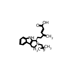 C=C(/C=C/C(=O)O)CC[C@@H]1c2[nH]c3ccccc3c2CCN1CC(C)(C)F